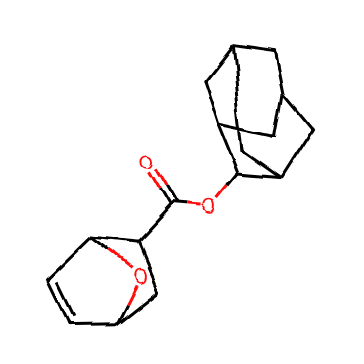 O=C(OC1C2CC3CC(C2)CC1C3)C1CC2C=CC1O2